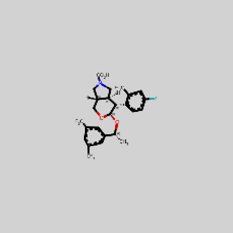 Cc1cc(F)ccc1[C@@H]1[C@@H](O[C@H](C)c2cc(C(F)(F)F)cc(C(F)(F)F)c2)OC[C@@H]2CN(C(=O)O)C[C@H]21